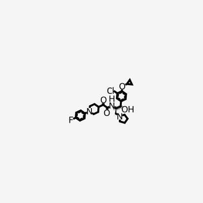 O=C(N[C@H](CN1CCCC1)[C@H](O)c1ccc(OC2CC2)c(Cl)c1)C(=O)C1CCN(c2ccc(F)cc2)CC1